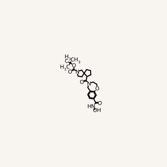 CC(C)(C)OC(=O)N1CCC2(CCCC2C(=O)N2CCOc3cc(C(=O)NO)ccc3C2)C1